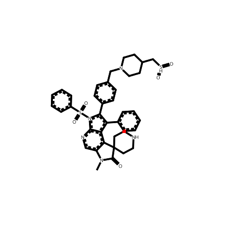 CN1C(=O)C2(CCNCC2)c2c1cnc1c2c(-c2ccccc2)c(-c2ccc(CN3CCC(C[SH](=O)=O)CC3)cc2)n1S(=O)(=O)c1ccccc1